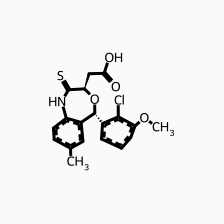 COc1cccc([C@H]2O[C@H](CC(=O)O)C(=S)Nc3ccc(C)cc32)c1Cl